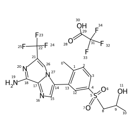 Cc1ccc(S(=O)(=O)CC(C)O)cc1-c1cnc2c(N)nc(C(F)(F)F)cn12.O=C(O)C(F)(F)F